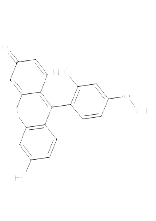 COc1ccc(-c2c3ccc(=O)cc-3oc3cc(O)ccc23)c(C)c1